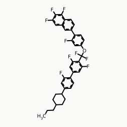 CCCC1CCC(c2ccc(-c3cc(F)c(C(F)(F)Oc4ccc(-c5ccc6c(F)c(F)c(F)cc6c5)c(F)c4)c(F)c3)c(F)c2)CC1